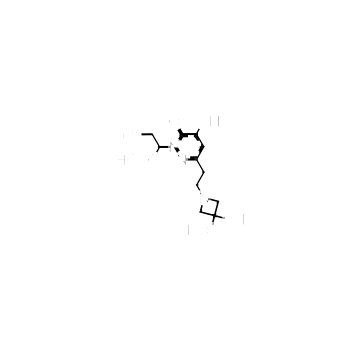 Cc1cc(CCN2CC(C)(C)C2)nn(C(CC(C)C)C(=O)O)c1=O